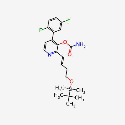 CC(C)(C)[Si](C)(C)OCCC=Cc1nccc(-c2cc(F)ccc2F)c1OC(N)=O